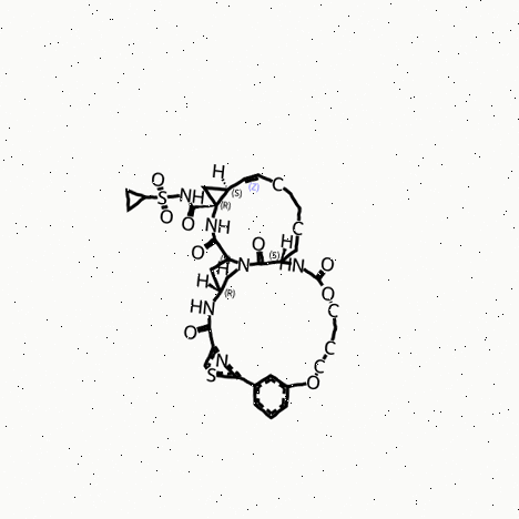 O=C1N[C@H]2CCCCC/C=C\[C@@H]3C[C@@]3(C(=O)NS(=O)(=O)C3CC3)NC(=O)[C@@H]3C[C@H](CN3C2=O)NC(=O)c2csc(n2)-c2cccc(c2)OCCCCO1